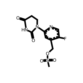 CS(=O)(=O)OCc1cc(N2CCC(=O)NC2=O)ncc1F